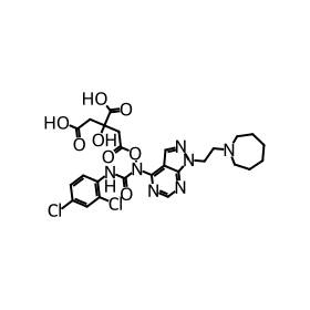 O=C(O)CC(O)(CC(=O)ON(C(=O)Nc1ccc(Cl)cc1Cl)c1ncnc2c1cnn2CCN1CCCCCC1)C(=O)O